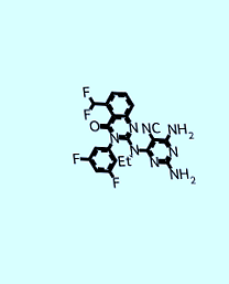 CCN(c1nc(N)nc(N)c1C#N)c1nc2cccc(C(F)F)c2c(=O)n1-c1cc(F)cc(F)c1